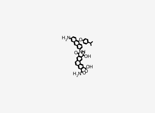 CC(C)c1ccc(Oc2c3ccc(N)cc3cc3cc(NC(=O)c4cc5ccc6cc(C(N)=O)c(C(=O)O)cc6c5cc4C(=O)O)ccc23)cc1